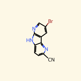 N#Cc1ccc2[nH]c3ncc(Br)cc3c2n1